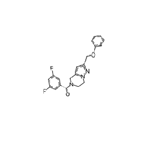 O=C(c1cc(F)cc(F)c1)N1CCn2nc(COc3ccccc3)cc2C1